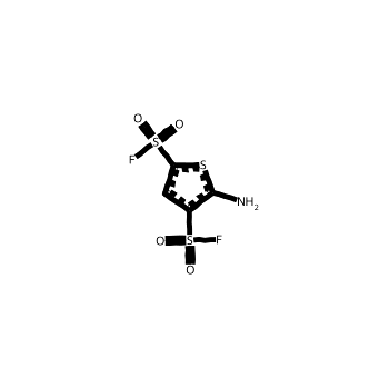 Nc1sc(S(=O)(=O)F)cc1S(=O)(=O)F